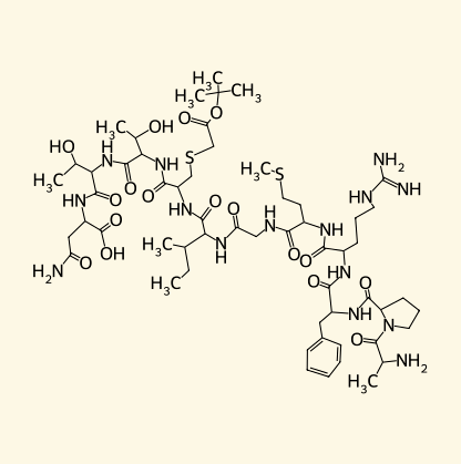 CCC(C)C(NC(=O)CNC(=O)C(CCSC)NC(=O)C(CCCNC(=N)N)NC(=O)C(Cc1ccccc1)NC(=O)C1CCCN1C(=O)C(C)N)C(=O)NC(CSCC(=O)OC(C)(C)C)C(=O)NC(C(=O)NC(C(=O)NC(CC(N)=O)C(=O)O)C(C)O)C(C)O